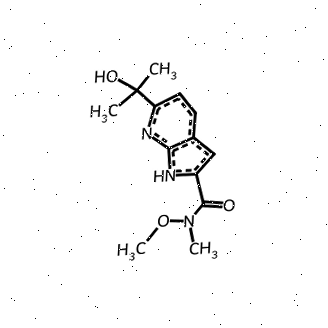 CON(C)C(=O)c1cc2ccc(C(C)(C)O)nc2[nH]1